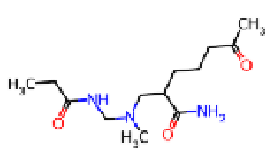 CCC(=O)NCN(C)CC(CCCC(C)=O)C(N)=O